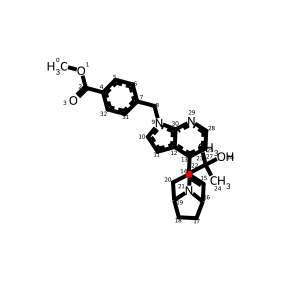 COC(=O)c1ccc(Cn2ccc3c(C4=CC5CCC(C4)N5CC(C)(C)O)ccnc32)cc1